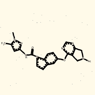 CC(=O)N1Cc2ncnc(Oc3ccc4c(ccn4C(=O)Nc4cc(C(F)(F)F)n(C)n4)c3)c2C1